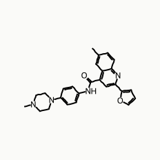 Cc1ccc2nc(-c3ccco3)cc(C(=O)Nc3ccc(N4CCN(C)CC4)cc3)c2c1